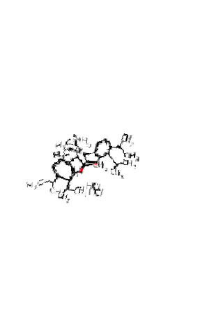 CC1=Cc2c(ccc(C(C)C)c2C(C)C)[CH]1[Zr]([CH3])([CH3])(=[SiH2])[CH]1C(C)=Cc2c1ccc(C(C)C)c2C(C)C.Cl.Cl